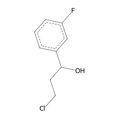 OC(CCCl)c1cccc(F)c1